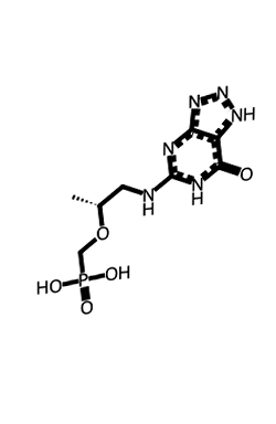 C[C@H](CNc1nc2nn[nH]c2c(=O)[nH]1)OCP(=O)(O)O